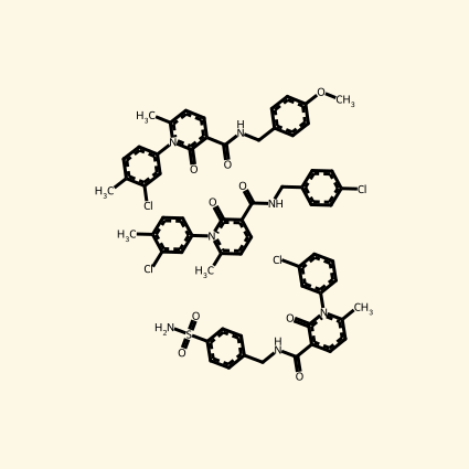 COc1ccc(CNC(=O)c2ccc(C)n(-c3ccc(C)c(Cl)c3)c2=O)cc1.Cc1ccc(-n2c(C)ccc(C(=O)NCc3ccc(Cl)cc3)c2=O)cc1Cl.Cc1ccc(C(=O)NCc2ccc(S(N)(=O)=O)cc2)c(=O)n1-c1cccc(Cl)c1